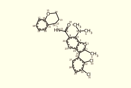 Cc1sc2c(N(C)C)c(C(=O)N[C@H]3CCOc4ccccc43)cnc2c1-c1cccc(Cl)c1Cl